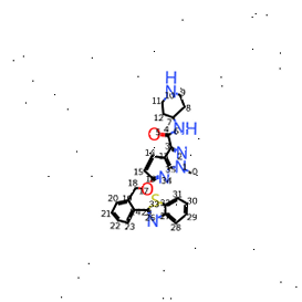 Cn1nc(C(=O)NC2CCNCC2)c2ccc(OCc3ccccc3-c3nc4ccccc4s3)nc21